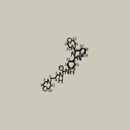 O=C(NCCCN1CCOCC1)Nc1ccc(-c2nc(N3CCOCC3)c3cccn3n2)cc1